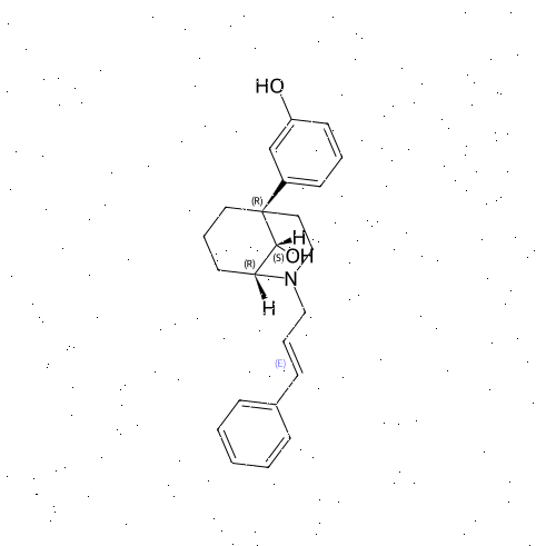 Oc1cccc([C@]23CCC[C@H]([C@H]2O)N(C/C=C/c2ccccc2)CC3)c1